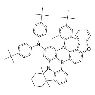 Cc1cc(C(C)(C)C)cc(C)c1N1c2cc(N(c3ccc(C(C)(C)C)cc3)c3ccc(C(C)(C)C)cc3)cc3c2B(c2cccc4c2N3C2(C)CCCCC42C)c2ccc3oc4ccccc4c3c21